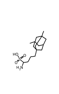 CC12CC3CC(C)(C1)CC(CCCC(N)S(=O)(=O)O)(C3)C2